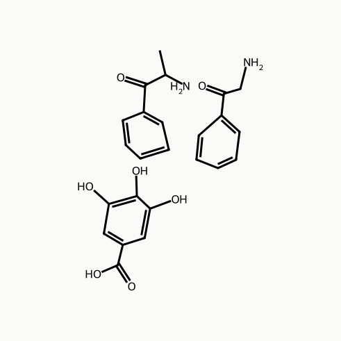 CC(N)C(=O)c1ccccc1.NCC(=O)c1ccccc1.O=C(O)c1cc(O)c(O)c(O)c1